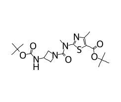 Cc1nc(N(C)C(=O)N2CC(NC(=O)OC(C)(C)C)C2)sc1C(=O)OC(C)(C)C